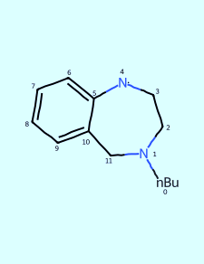 CCCCN1CC[N]c2ccccc2C1